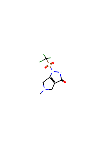 CN1Cc2c(n(S(=O)(=O)C(F)(F)F)[nH]c2=O)C1